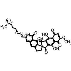 COC1=CC(=O)c2c(O)c3c(c(O)c2C1=O)C(=O)C1(CCc2cc4cc(C=NOCCCN(C)C)[nH]c(=O)c4c(O)c21)C3=O